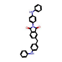 O=C1c2ccc(Cc3ccc(Nc4ccccc4)cc3)cc2C(=O)N1c1ccc(Nc2ccccc2)cc1